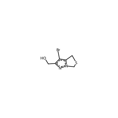 OCc1nn2c(c1Br)CSC2